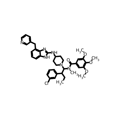 CCC(c1cccc(Cl)c1)C(N1CCC(Nc2nc3c(Cc4cccnc4)cccc3[nH]2)CC1)N(C)C(=O)c1cc(OC)c(OC)c(OC)c1